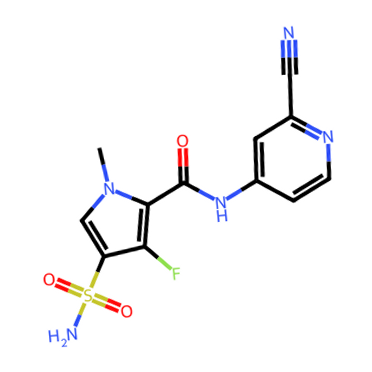 Cn1cc(S(N)(=O)=O)c(F)c1C(=O)Nc1ccnc(C#N)c1